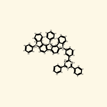 c1ccc(-c2nc(-c3ccccc3)nc(-c3cccc(-n4c5ccccc5c5c4ccc4c6ccc7c(c8ccccc8n7-c7ccccc7)c6n(-c6ccccc6)c45)c3)n2)cc1